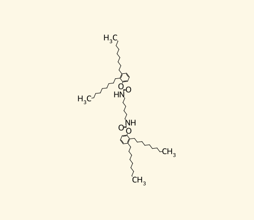 CCCCCCCCCc1cccc(OC(=O)NCCCCCCNC(=O)Oc2cccc(CCCCCCCCC)c2CCCCCCCCC)c1CCCCCCCCC